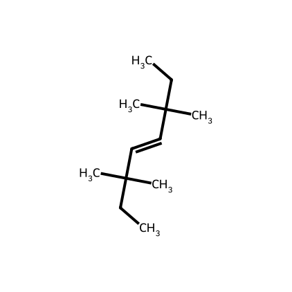 CCC(C)(C)C=CC(C)(C)CC